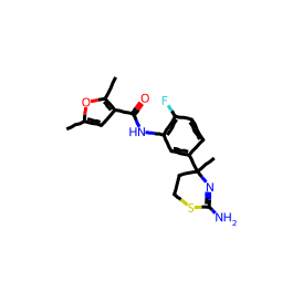 Cc1cc(C(=O)Nc2cc(C3(C)CCSC(N)=N3)ccc2F)c(C)o1